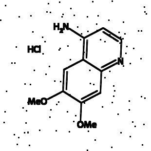 COc1cc2nccc(N)c2cc1OC.Cl